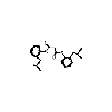 CC(C)Cc1ccccc1SC(=O)CC(=O)Sc1ccccc1CC(C)C